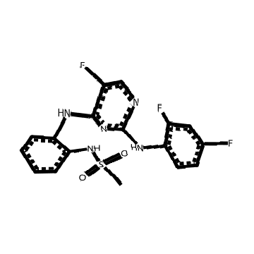 CS(=O)(=O)Nc1ccccc1Nc1nc(Nc2ccc(F)cc2F)ncc1F